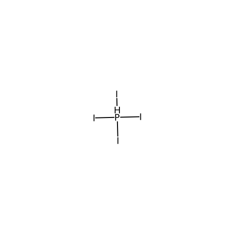 I[PH](I)(I)I